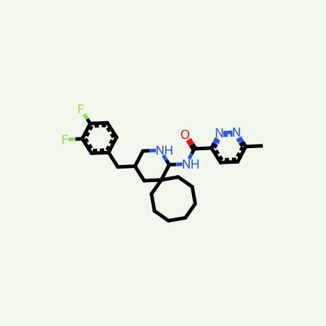 Cc1ccc(C(=O)NC2NCC(Cc3ccc(F)c(F)c3)CC23CCCCCCC3)nn1